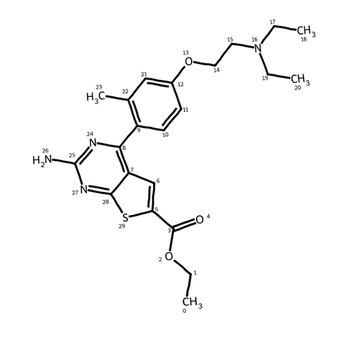 CCOC(=O)c1cc2c(-c3ccc(OCCN(CC)CC)cc3C)nc(N)nc2s1